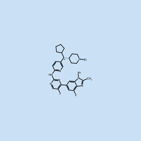 CCN1CCC([C@H](c2ccc(Nc3ncc(F)c(-c4cc(F)c5nc(C)n(C(C)C)c5c4)n3)nc2)C2CCCC2)CC1